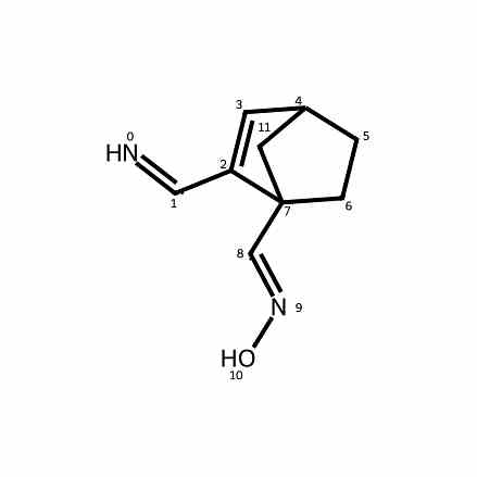 N=[C]C1=CC2CCC1(/[C]=N/O)C2